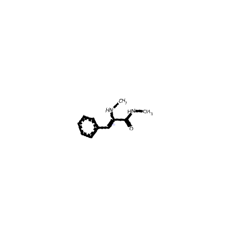 CNC(=O)/C(=C/c1ccccc1)NC